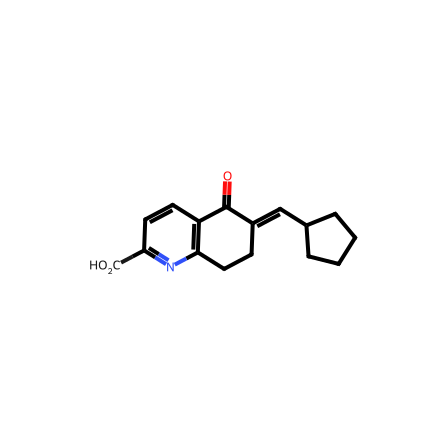 O=C(O)c1ccc2c(n1)CCC(=CC1CCCC1)C2=O